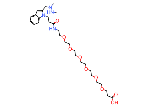 CNN(C)Cc1cc2ccccc2n1CCC(=O)NCCOCCOCCOCCOCCOCCOCCC(=O)O